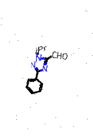 CC(C)n1nc(-c2ccccc2)nc1C=O